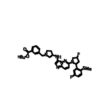 CCCCOC(=O)c1cccc(CN2CCC(Nc3cnc4ccc(N5CC(F)CC5c5cc(F)ccc5SC)nn34)C2)c1